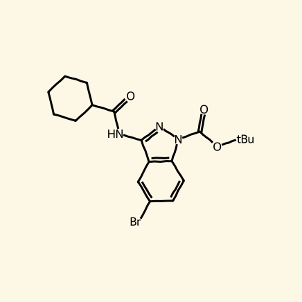 CC(C)(C)OC(=O)n1nc(NC(=O)C2CCCCC2)c2cc(Br)ccc21